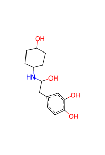 Oc1ccc(CC(O)NC2CCC(O)CC2)cc1O